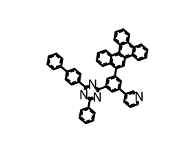 c1ccc(-c2ccc(-c3nc(-c4ccccc4)nc(-c4cc(-c5cccnc5)cc(-c5cc6c7ccccc7c7ccccc7c6c6ccccc56)c4)n3)cc2)cc1